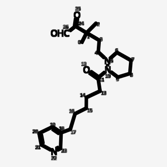 CC(C)(CCN1CCCCN1C(=O)CCCCCc1cccnc1)C(=O)C=O